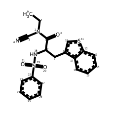 CCN(C#N)C(=O)C(Cc1csc2ccccc12)NS(=O)(=O)c1ccccc1